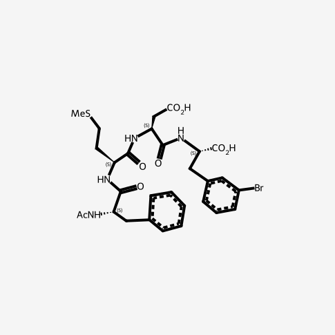 CSCC[C@H](NC(=O)[C@H](Cc1ccccc1)NC(C)=O)C(=O)N[C@@H](CC(=O)O)C(=O)N[C@@H](Cc1cccc(Br)c1)C(=O)O